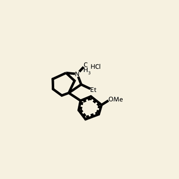 CCC1N(C)C2CCCC1(c1cccc(OC)c1)C2.Cl